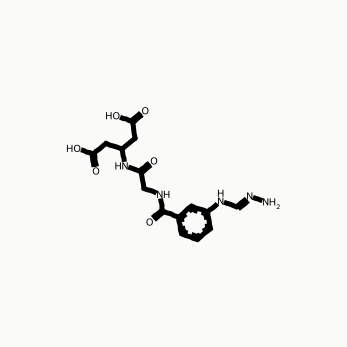 NN=CNc1cccc(C(=O)NCC(=O)NC(CC(=O)O)CC(=O)O)c1